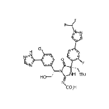 CC(C)(C)C[C@]1(c2ccc(-c3cnn(C(F)F)c3)cc2F)N/C(=N\C(=O)O)N([C@H](CO)c2ccc(Cl)c(-c3ncn[nH]3)c2)C1=O